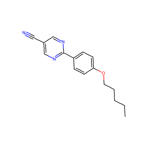 CCCCCOc1ccc(-c2ncc(C#N)cn2)cc1